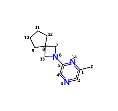 Cc1cncc(N2CC3(CCCC3)C2)n1